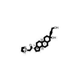 C[C@]12CC[C@H]3[C@@H](CCC4CC(O)(C#CCO)CC[C@@]43C)[C@@H]1CC[C@@H]2C(=O)Cn1nccn1